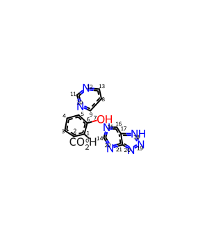 O=C(O)c1ccccc1O.c1cncnc1.c1ncc2[nH]nnc2n1